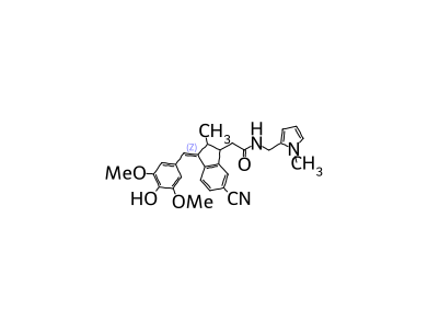 COc1cc(/C=C2\c3ccc(C#N)cc3C(CC(=O)NCc3cccn3C)C2C)cc(OC)c1O